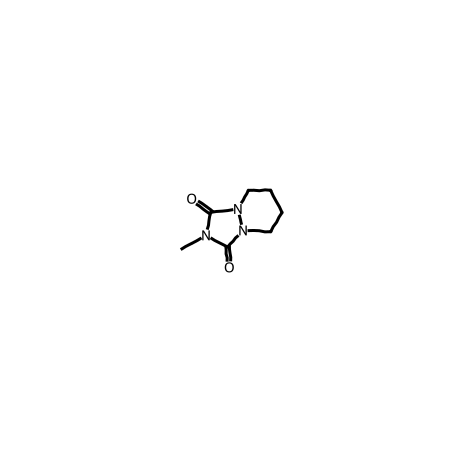 Cn1c(=O)n2n(c1=O)CCCC2